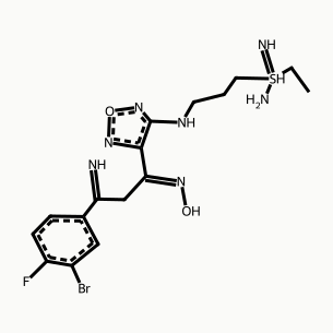 CC[SH](=N)(N)CCCNc1nonc1/C(CC(=N)c1ccc(F)c(Br)c1)=N/O